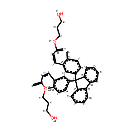 C=C(/C=C\c1cc(C2(c3ccc(C)c(/C=C\C(=C)OCCCO)c3)c3ccccc3-c3ccccc32)ccc1C)OCCCO